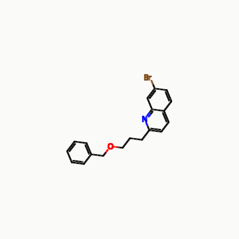 Brc1ccc2ccc(CCCOCc3ccccc3)nc2c1